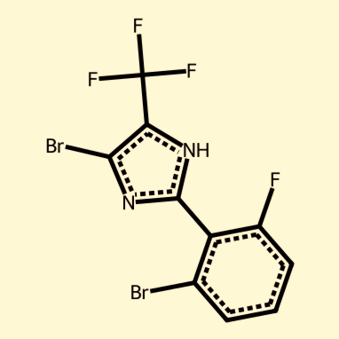 Fc1cccc(Br)c1-c1nc(Br)c(C(F)(F)F)[nH]1